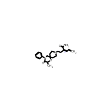 C=C/C=C(/CCN1CCC2(CC1)CN(c1ccccc1)C(=O)C(C)O2)C(N)=O